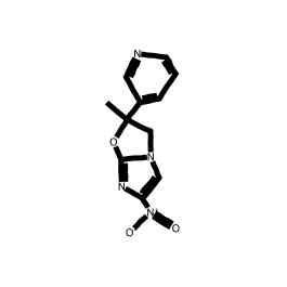 CC1(c2cccnc2)Cn2cc([N+](=O)[O-])nc2O1